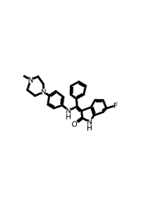 CN1CCN(c2ccc(N/C(=C3\C(=O)Nc4cc(F)ccc43)c3ccccc3)cc2)CC1